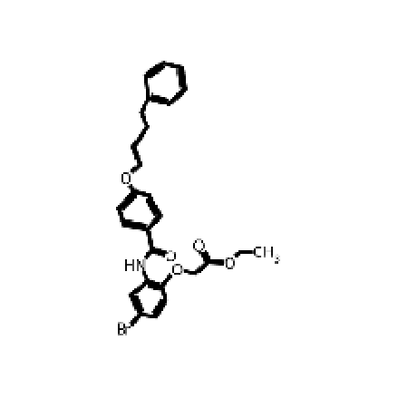 CCOC(=O)COc1ccc(Br)cc1NC(=O)c1ccc(OCCCCc2ccccc2)cc1